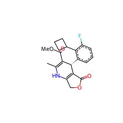 COC(=O)C1=C(C)NC2=C(C(=O)OC2)[C@H]1c1cccc(F)c1C1CCC1